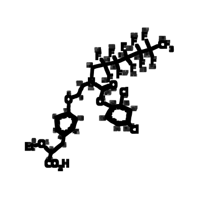 CCOC(Cc1ccc(OCCN(CC(F)(F)C(F)(F)C(F)(F)C(F)(F)C(F)(F)C(F)(F)F)C(=O)Oc2ccc(Cl)cc2Cl)cc1)C(=O)O